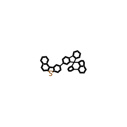 c1ccc2c(c1)-c1ccc(-c3ccc4sc5ccc6ccccc6c5c4c3)cc1C21c2ccccc2-c2cccc3cccc1c23